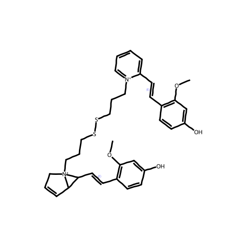 COc1cc(O)ccc1/C=C/c1cccc[n+]1CCCSSCCC[N+]12CC=CC1C2/C=C/c1ccc(O)cc1OC